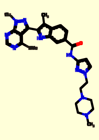 CNc1ncnc2c1c(-c1[nH]c3cc(C(=O)Nc4ccn(CCN5CCN(C)CC5)n4)ccc3c1C)nn2C(C)(C)C